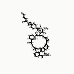 CO[C@@H](C)c1ncccc1-c1c2c3cc(ccc3n1CC(F)(F)F)-c1csc(n1)C[C@H](NC(=O)[C@H](C(C)C)N(C)C(=O)N1CCC3(CC1)CN(C(=O)/C=C/CF)C3)C(=O)N1CCCC(N1)C(=O)OCC(C)(C)C2